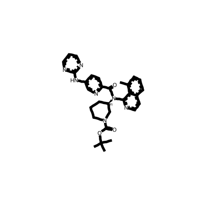 Cc1cccc2ccnc(N(C(=O)c3ccc(Nc4ncccn4)cn3)[C@@H]3CCCN(C(=O)OC(C)(C)C)C3)c12